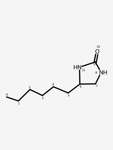 CCCCCCC1CNC(=O)N1